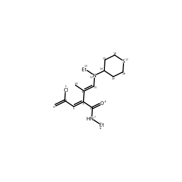 C=C(Cl)/C=C(C(=O)NCC)\C(C)=C\N(CC)C1CCSCC1